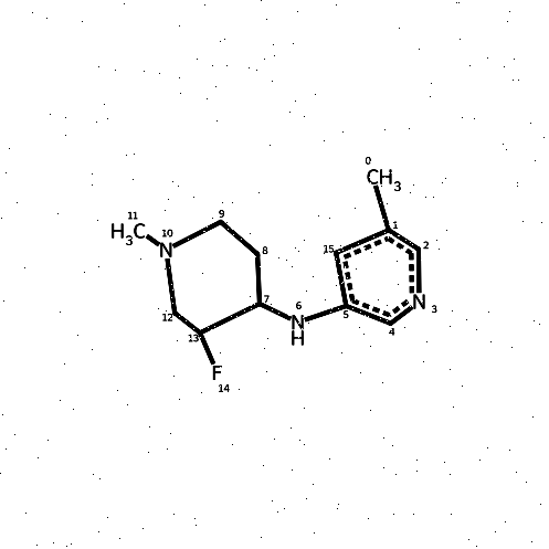 Cc1cncc(NC2CCN(C)CC2F)c1